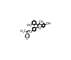 CC1=C(c2cccc(O)c2)C(c2ccc(OCC(C)N3CCOCC3)cc2)Oc2ccc(O)cc21